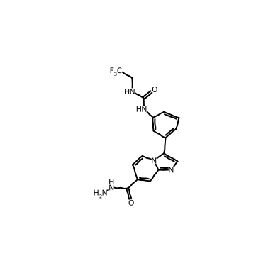 NNC(=O)c1ccn2c(-c3cccc(NC(=O)NCC(F)(F)F)c3)cnc2c1